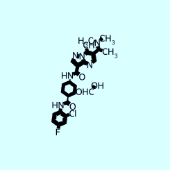 Cc1c(C(C)N(C)C)cnc2c(C(=O)N[C@H]3CC[C@H](C(=O)Nc4ccc(F)cc4Cl)CC3)cnn12.O=CO